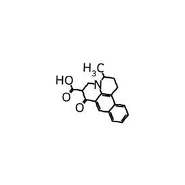 CC1CCc2c3c(cc4ccccc24)C(=O)C(C(=O)O)CN31